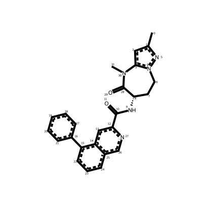 Cc1cc2n(n1)CC[C@H](NC(=O)c1cc3c(-c4ccccc4)cccc3cn1)C(=O)N2C